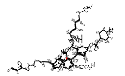 C=CC(=O)OCCCCCCOc1ccc(C(=O)O)c(-c2ccc(OC(=O)C3CCC(CC)CC3)cc2C(=NNCCCCCCO)c2nc3ccccc3s2)c1